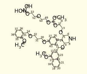 CCC(COC1CNCC(OCc2cc(OC)c3ccccc3c2)C1c1ccc(OCCCOCc2ccccc2OC)cc1)OC(=O)OCCOCCON(O)O